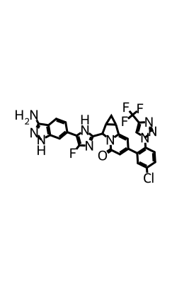 Nc1n[nH]c2cc(-c3[nH]c(C4C5CC5c5cc(-c6cc(Cl)ccc6-n6cc(C(F)(F)F)nn6)cc(=O)n54)nc3F)ccc12